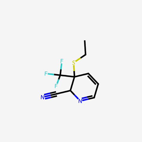 CCSC1(C(F)(F)F)C=CC=NC1C#N